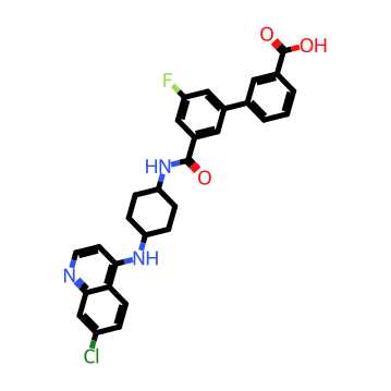 O=C(O)c1cccc(-c2cc(F)cc(C(=O)NC3CCC(Nc4ccnc5cc(Cl)ccc45)CC3)c2)c1